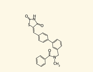 CN(Cc1cccc(-c2ccc(C=C3SC(=O)NC3=O)cc2)c1)C(=O)c1ccccc1